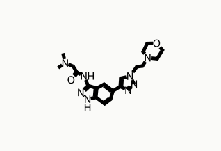 CN(C)CC(=O)Nc1n[nH]c2ccc(-c3cn(CCN4CCOCC4)nn3)cc12